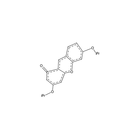 CC(C)Oc1cc2oc3cc(OC(C)C)ccc3cc-2c(=O)c1